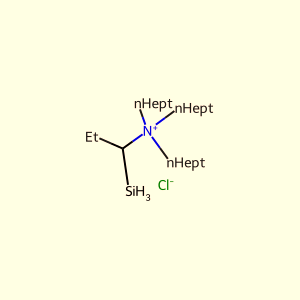 CCCCCCC[N+](CCCCCCC)(CCCCCCC)C([SiH3])CC.[Cl-]